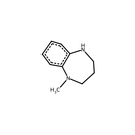 CN1CCCNc2cc[c]cc21